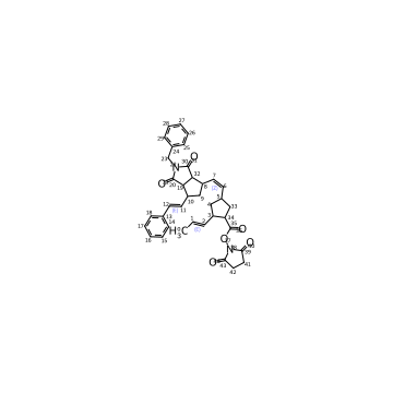 C/C=C/C1CC(/C=C\C2CC(/C=C/c3ccccc3)C3C(=O)N(Cc4ccccc4)C(=O)C23)CC1C(=O)ON1C(=O)CCC1=O